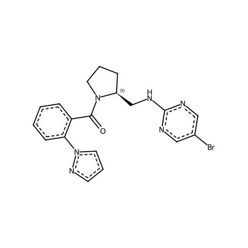 O=C(c1ccccc1-n1cccn1)N1CCC[C@H]1CNc1ncc(Br)cn1